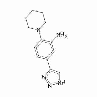 Nc1cc(-c2c[nH]nn2)ccc1N1CCCCC1